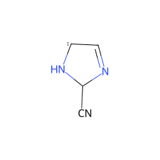 N#CC1N=C[C]N1